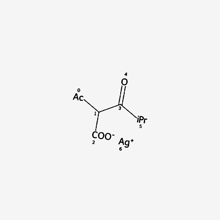 CC(=O)C(C(=O)[O-])C(=O)C(C)C.[Ag+]